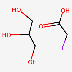 O=C(O)CI.OCC(O)CO